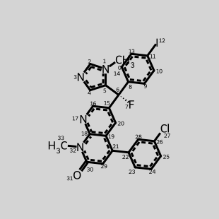 Cn1cncc1[C@@](F)(c1ccc(I)cc1)c1cnc2c(c1)c(-c1cccc(Cl)c1)cc(=O)n2C